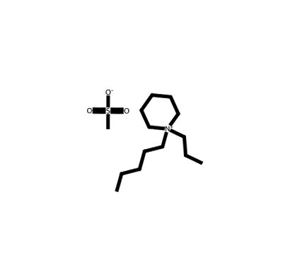 CCCCC[N+]1(CCC)CCCCC1.CS(=O)(=O)[O-]